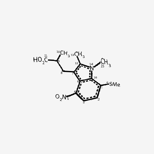 CSc1ccc([N+](=O)[O-])c2c(CC(C)C(=O)O)c(C)n(C)c12